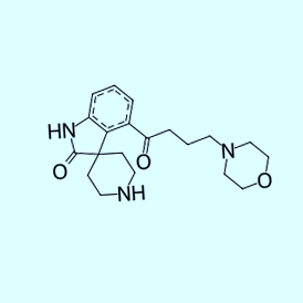 O=C(CCCN1CCOCC1)c1cccc2c1C1(CCNCC1)C(=O)N2